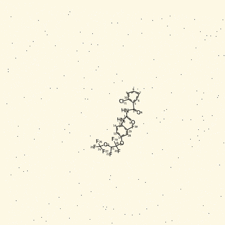 O=C(NC(=O)c1ccccc1Cl)Nc1ccc(OC(F)(F)C(F)OC(F)(F)F)cc1F